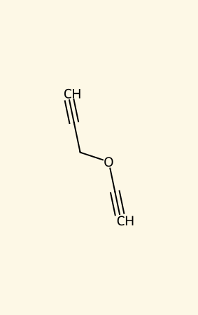 C#CCOC#C